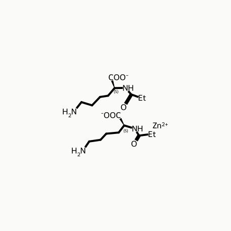 CCC(=O)N[C@@H](CCCCN)C(=O)[O-].CCC(=O)N[C@@H](CCCCN)C(=O)[O-].[Zn+2]